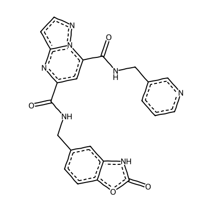 O=C(NCc1ccc2oc(=O)[nH]c2c1)c1cc(C(=O)NCc2cccnc2)n2nccc2n1